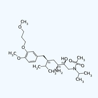 COCCCOc1cc(C[C@@H](C[C@H](N)[C@@H](O)CN(C(C)C)S(C)(=O)=O)C(C)C)ccc1OC